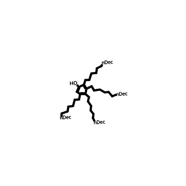 CCCCCCCCCCCCCCCCc1cc(O)c(CCCCCCCCCCCCCCCC)c(CCCCCCCCCCCCCCCC)c1CCCCCCCCCCCCCCCC